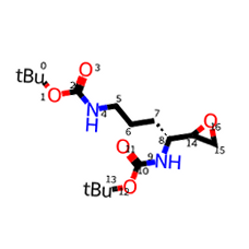 CC(C)(C)OC(=O)NCCC[C@@H](NC(=O)OC(C)(C)C)C1CO1